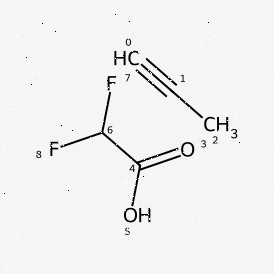 C#CC.O=C(O)C(F)F